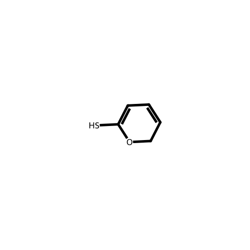 SC1=CC=CCO1